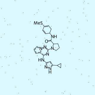 CSC1=CCC(NC(=O)C2CCCN2c2nc(Nc3cc(C4CC4)[nH]n3)c3cccn3n2)C=C1